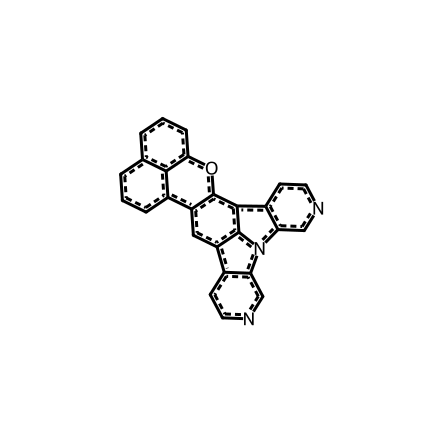 c1cc2cccc3c4cc5c6ccncc6n6c7cnccc7c(c4oc(c1)c23)c56